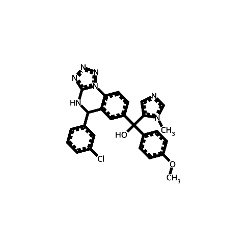 COc1ccc(C(O)(c2ccc3c(c2)C(c2cccc(Cl)c2)Nc2nnnn2-3)c2cncn2C)cc1